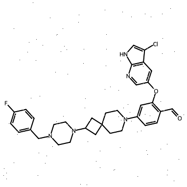 O=Cc1ccc(N2CCC3(CC2)CC(N2CCN(Cc4ccc(F)cc4)CC2)C3)cc1Oc1cnc2[nH]cc(Cl)c2c1